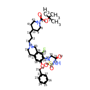 CC(C)(C)OC(=O)N1CCC(CCCN2CCc3cc(OCc4ccccc4)c(N4CC(=O)NS4(=O)=O)c(F)c3C2)CC1